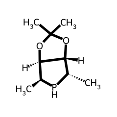 C[C@@H]1P[C@@H](C)[C@H]2OC(C)(C)O[C@@H]21